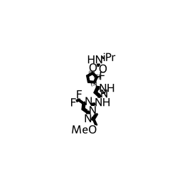 COCc1cn2c(Nc3cc([C@@H]4CC[C@H](OC(=O)NC(C)C)[C@H]4F)[nH]n3)nc(C(F)F)cc2n1